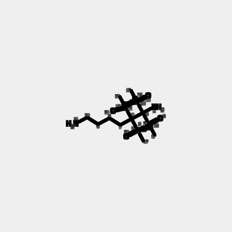 CS(=O)(=O)C(N)(C(CCCCN)(S(C)(=O)=O)S(C)(=O)=O)S(C)(=O)=O